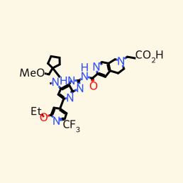 CCOc1cc(-c2cc(N(C)CC3(COC)CCCC3)c3[nH]c(NC(=O)c4cc5c(cn4)CN(CCC(=O)O)CC5)nc3n2)cc(C(F)(F)F)n1